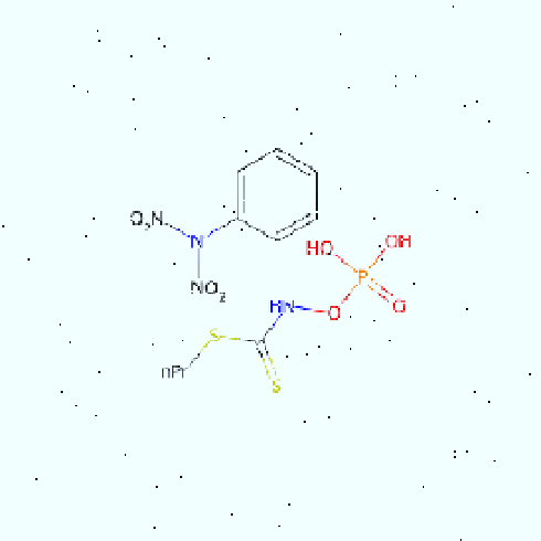 CCCSC(=S)NOP(=O)(O)O.O=[N+]([O-])N(c1ccccc1)[N+](=O)[O-]